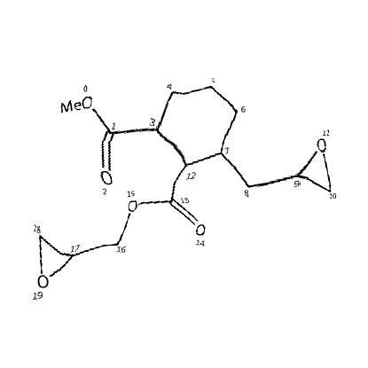 COC(=O)C1CCCC(CC2CO2)C1C(=O)OCC1CO1